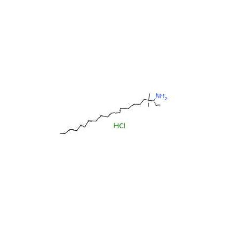 C=CC(N)C(C)(C)CCCCCCCCCCCCCCCCC.Cl